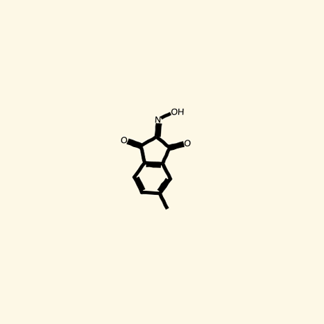 Cc1ccc2c(=O)/c(=N/O)c(=O)c2c1